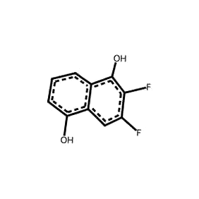 Oc1cccc2c(O)c(F)c(F)cc12